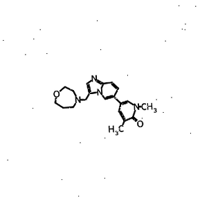 Cc1cc(-c2ccc3ncc(CN4CCCOCC4)n3c2)cn(C)c1=O